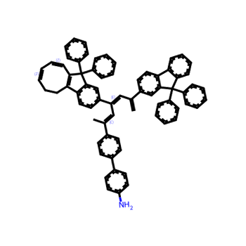 C=C(/C=C(\C=C(/C)c1ccc(-c2ccc(N)cc2)cc1)c1ccc2c(c1)C(c1ccccc1)(c1ccccc1)C1=C2CC/C=C\C=C/1)c1ccc2c(c1)C(c1ccccc1)(c1ccccc1)c1ccccc1-2